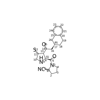 N#C[C@@H]1CCCN1C(=O)[C@H]1NCC(=S)C1C(=O)C[C@@H]1CCc2ccccc2C1